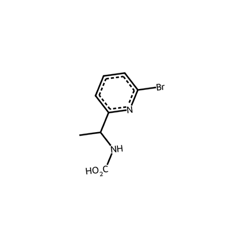 CC(NC(=O)O)c1cccc(Br)n1